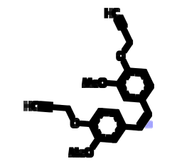 C#CCOc1ccc(/C=C\c2ccc(OCC#C)c(OC)c2)cc1OC